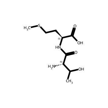 CSCC[C@H](NC(=O)[C@@H](N)C(C)O)C(=O)O